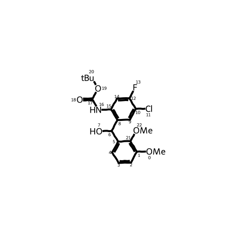 COc1cccc(C(O)c2cc(Cl)c(F)cc2NC(=O)OC(C)(C)C)c1OC